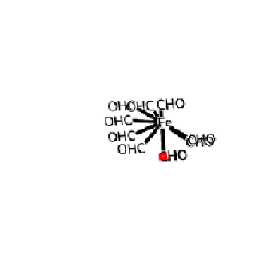 O=[CH][Fe]([CH]=O)([CH]=O)([CH]=O)([CH]=O)([CH]=O)([CH]=O)([CH]=O)([CH]=O)[CH]=O